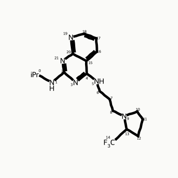 CC(C)Nc1nc(NCCCN2CCCC2C(F)(F)F)c2cccnc2n1